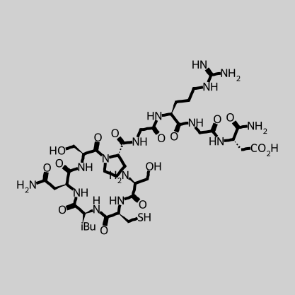 CC[C@H](C)[C@H](NC(=O)[C@H](CS)NC(=O)[C@@H](N)CO)C(=O)N[C@@H](CC(N)=O)C(=O)N[C@@H](CO)C(=O)N1CCC[C@H]1C(=O)NCC(=O)N[C@@H](CCCNC(=N)N)C(=O)NCC(=O)N[C@@H](CC(=O)O)C(N)=O